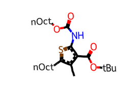 CCCCCCCCOC(=O)Nc1sc(CCCCCCCC)c(C)c1C(=O)OC(C)(C)C